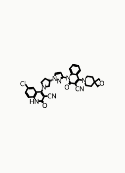 N#Cc1c(N2CC[C@@H](n3ccc(-n4c(=O)c(C#N)c(N5CCC6(CC5)COC6)c5ccccc54)n3)C2)c2cc(Cl)ccc2[nH]c1=O